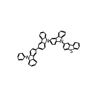 c1ccc(-n2c3ccccc3c3cc(-c4ccc5c(c4)c4ccccc4n5-c4ccc5c(c4)c4ccccc4n5-c4ccc5sc6ccccc6c5c4)ccc32)cc1